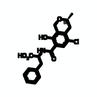 C[C@@H]1Cc2c(Cl)cc(C(=O)NC(Cc3ccccc3)C(=O)O)c(O)c2CO1